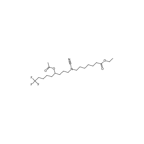 CCOC(=O)CCCCCCN(C#N)CCCC(CCCCC(F)(F)F)OC(C)=O